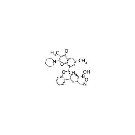 Cc1cc([C@H](C)Oc2ccccc2-c2ccc3c(c2)C=NOB3O)c2oc(N3CCCCC3)c(C)c(=O)c2c1